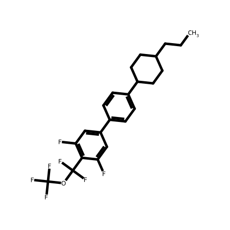 CCCC1CCC(c2ccc(-c3cc(F)c(C(F)(F)OC(F)(F)F)c(F)c3)cc2)CC1